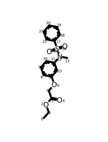 CCOC(=O)COc1cccc(N(C)S(=O)(=O)c2ccccc2)c1